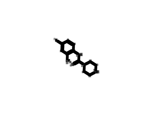 O=C(Nc1ccc(F)cc1C(F)(F)F)N1CCNCC1